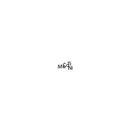 [Co].[Mo].[Ni].[Ti]